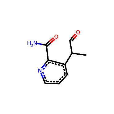 CC(C=O)c1cccnc1C(N)=O